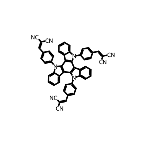 N#CC(C#N)=Cc1ccc(-n2c3ccccc3c3c2c2c4ccccc4n(-c4ccc(C=C(C#N)C#N)cc4)c2c2c4ccccc4n(-c4ccc(C=C(C#N)C#N)cc4)c32)cc1